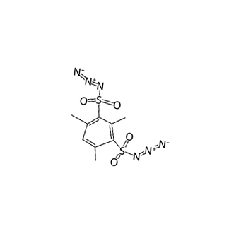 Cc1cc(C)c(S(=O)(=O)N=[N+]=[N-])c(C)c1S(=O)(=O)N=[N+]=[N-]